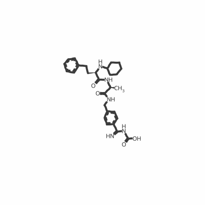 C[C@H](NC(=O)[C@@H](CCc1ccccc1)NC1CCCCC1)C(=O)NCc1ccc(C(=N)NC(=O)O)cc1